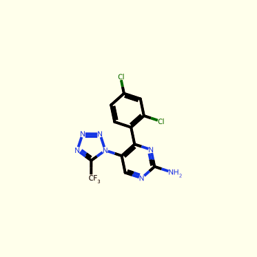 Nc1ncc(-n2nnnc2C(F)(F)F)c(-c2ccc(Cl)cc2Cl)n1